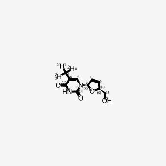 [2H]C([2H])([2H])c1cn([C@H]2C=C[C@@H](CO)O2)c(=O)[nH]c1=O